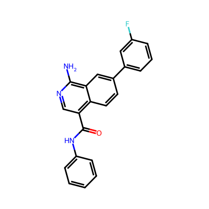 Nc1ncc(C(=O)Nc2ccccc2)c2ccc(-c3cccc(F)c3)cc12